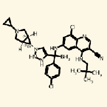 BC(Nc1cc(Cl)c2ncc(C#N)c(NCC(C)(C)C)c2c1)(C1=CN([C@H]2[C@@H]3CN(C4CC4)C[C@@H]32)NN1)c1ccc(Cl)cc1